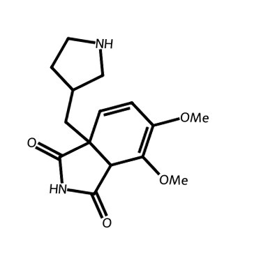 COC1=C(OC)C2C(=O)NC(=O)C2(CC2CCNC2)C=C1